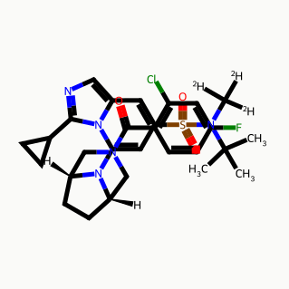 [2H]C([2H])([2H])N(C(C)(C)C)S(=O)(=O)c1cc(N2[C@@H]3CC[C@H]2CN(C(=O)c2ccc(F)cc2Cl)C3)n2c(C3CC3)ncc2c1